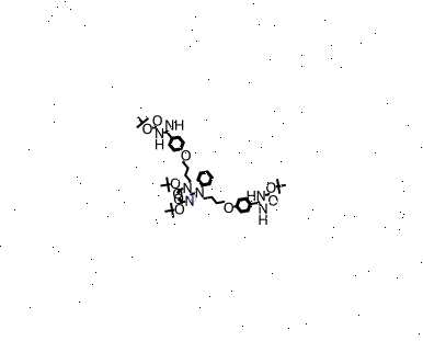 CC(C)(C)OC(=O)/N=C(\N(CCCCOc1ccc(C(=N)NC(=O)OC(C)(C)C)cc1)C(=O)OC(C)(C)C)N(CCCCOc1ccc(C(=N)NC(=O)OC(C)(C)C)cc1)c1ccccc1